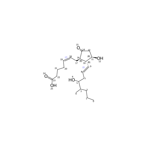 CCCC(C)C(O)C/C=C/[C@H]1[C@H](O)CC(=O)[C@@H]1C/C=C\CCCC(=O)O